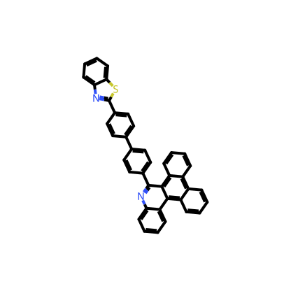 c1ccc2sc(-c3ccc(-c4ccc(-c5nc6ccccc6c6c7ccccc7c7ccccc7c56)cc4)cc3)nc2c1